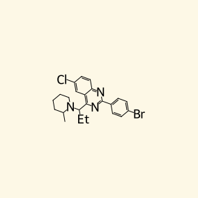 [CH2]CC(c1nc(-c2ccc(Br)cc2)nc2ccc(Cl)cc12)N1CCCCC1C